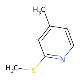 CSc1[c]c(C)ccn1